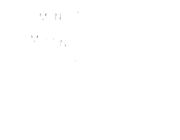 CNC(=O)/C(=N\OC)c1ccccc1Oc1cccc(OCc2ccccc2)c1